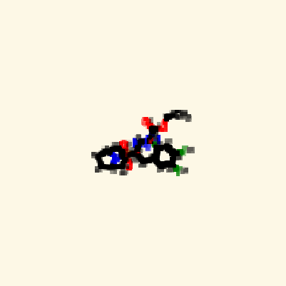 CCOC(=O)NCCS(=O)(=O)N1C2CCC1CC([C@H](N)Cc1cc(F)c(F)cc1F)C2